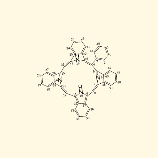 c1ccc(-c2c3nc(cc4[nH]c(cc5nc(cc6[nH]c2c2ccccc62)-c2ccccc2-5)c2ccccc42)-c2ccccc2-3)cc1